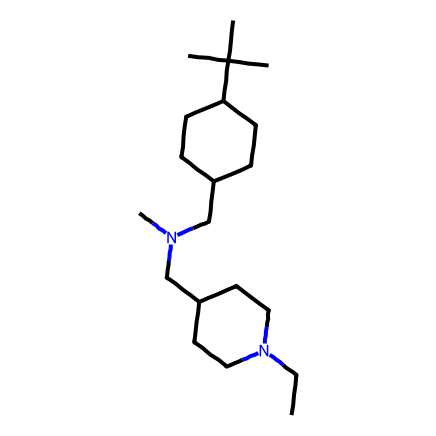 CCN1CCC(CN(C)CC2CCC(C(C)(C)C)CC2)CC1